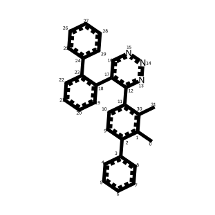 Cc1c(-c2ccccc2)ccc(-c2nnncc2-c2ccccc2-c2ccccc2)c1C